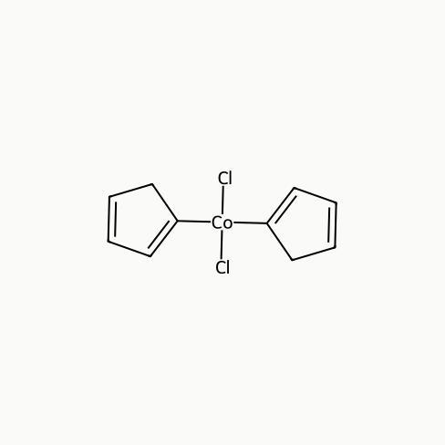 [Cl][Co]([Cl])([C]1=CC=CC1)[C]1=CC=CC1